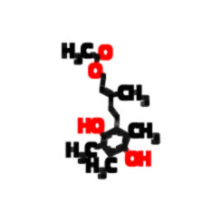 CC(=O)OC/C=C(\C)CCc1c(C)c(O)c(C)c(C)c1O